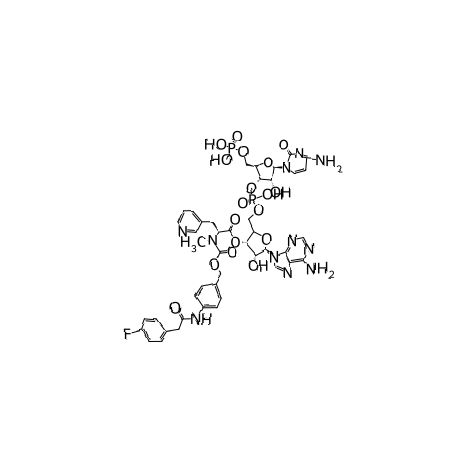 CN(C(=O)OCc1ccc(NC(=O)Cc2ccc(F)cc2)cc1)[C@@H](Cc1cccnc1)C(=O)O[C@@H]1C(COP(=O)(O)O[C@H]2[C@@H](O)[C@H](n3ccc(N)nc3=O)O[C@@H]2COP(=O)(O)O)O[C@@H](n2cnc3c(N)ncnc32)[C@@H]1O